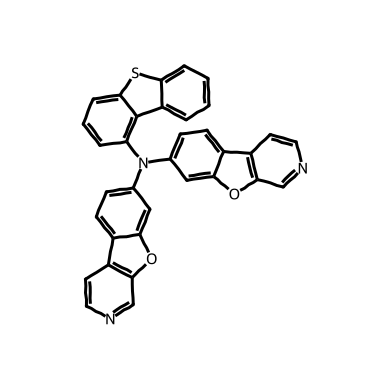 c1ccc2c(c1)sc1cccc(N(c3ccc4c(c3)oc3cnccc34)c3ccc4c(c3)oc3cnccc34)c12